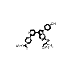 COC[C@H](C)Nc1ncc2c(-c3ccnc(N4CCN(C(=O)OC)CC4)c3)cc([C@H]3CC[C@H](O)CC3)n2n1